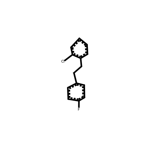 Fc1ccc([CH]Cc2ccccc2Cl)cc1